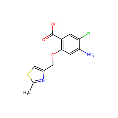 Cc1nc(COc2cc(N)c(Cl)cc2C(=O)O)cs1